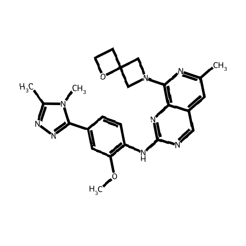 COc1cc(-c2nnc(C)n2C)ccc1Nc1ncc2cc(C)nc(N3CC4(CCO4)C3)c2n1